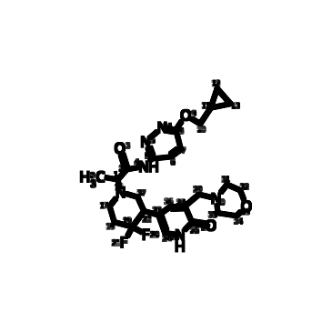 CC(C(=O)Nc1ccc(OCC2CC2)nn1)N1CCC(F)(F)C(c2c[nH]c(=O)c(CN3CCOCC3)c2)C1